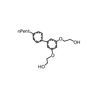 CCCCCc1ccc(-c2cc(OCCO)cc(OCCO)c2)cc1